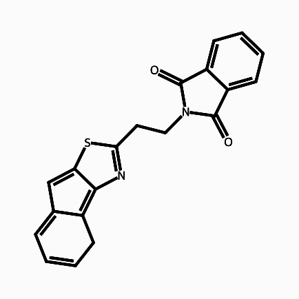 O=C1c2ccccc2C(=O)N1CCc1nc2c(s1)=CC1=CC=CCC=21